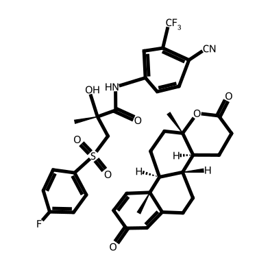 C[C@](O)(CS(=O)(=O)c1ccc(F)cc1)C(=O)Nc1ccc(C#N)c(C(F)(F)F)c1.C[C@]12C=CC(=O)C=C1CC[C@@H]1[C@@H]2CC[C@]2(C)OC(=O)CC[C@@H]12